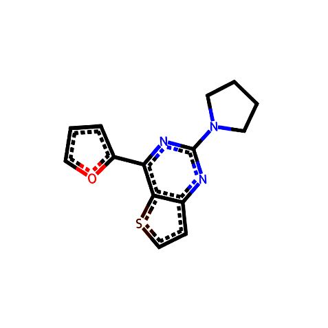 c1coc(-c2nc(N3CCCC3)nc3ccsc23)c1